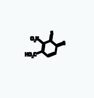 O=C(O)C1=C([N+](=O)[O-])C(=S)C(=S)C=C1